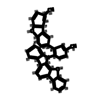 N#Cc1ccc(-n2c3ccccc3c3ccc4c5ccccc5oc4c32)c(-c2ccc3oc4ccc(C#N)cc4c3c2)c1